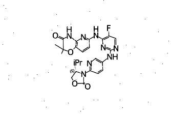 CC(C)[C@H]1COC(=O)N1c1ccc(Nc2ncc(F)c(Nc3ccc4c(n3)NC(=O)C(C)(C)O4)n2)cn1